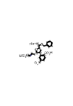 CCCCC[C@@H](OCc1ccccc1)[C@H]1C[C@@H](c2cc([N+](=O)[O-])ccc2C(=O)O)[C@H](C/C=C/C(=O)OCC)O1